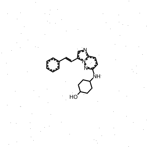 OC1CCC(Nc2ccc3ncc(/C=C/c4ccccc4)n3n2)CC1